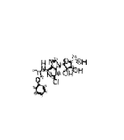 C[C@H](COc1ccccc1)Nc1nc(Cl)nc2c1ncn2[C@@H]1O[C@H](CO)[C@@H](O)[C@H]1O